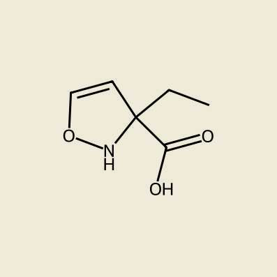 CCC1(C(=O)O)C=CON1